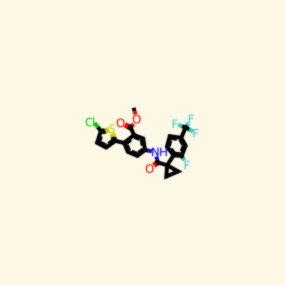 COC(=O)c1cc(NC(=O)C2(c3ccc(C(F)(F)F)cc3F)CC2)ccc1-c1ccc(Cl)s1